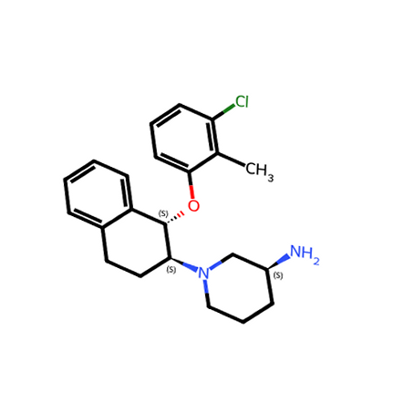 Cc1c(Cl)cccc1O[C@H]1c2ccccc2CC[C@@H]1N1CCC[C@H](N)C1